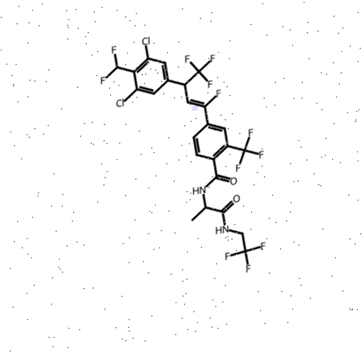 CC(NC(=O)c1ccc(/C(F)=C/C(c2cc(Cl)c(C(F)F)c(Cl)c2)C(F)(F)F)cc1C(F)(F)F)C(=O)NCC(F)(F)F